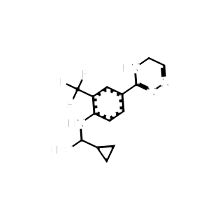 CC(Nc1ccc(C2=NN=CCN2)cc1C(F)(F)F)C1CC1